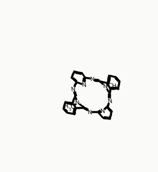 Cn1c2nc3cccc(n3)nc3c4ccccc4c(nc4cccc(n4)nc1c1ccccc12)n3C